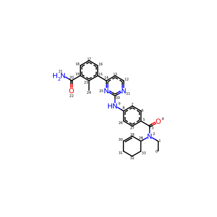 CCN(C(=O)c1ccc(Nc2nccc(-c3cccc(C(N)=O)c3C)n2)cc1)C1C=CCCC1